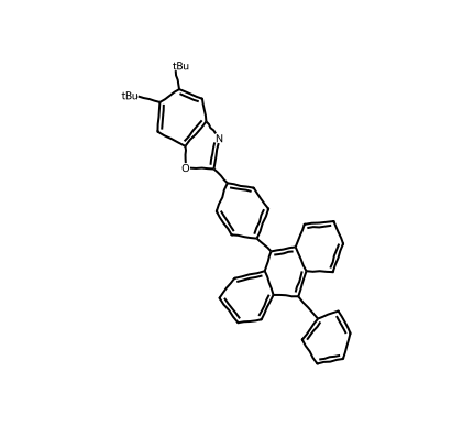 CC(C)(C)c1cc2nc(-c3ccc(-c4c5ccccc5c(-c5ccccc5)c5ccccc45)cc3)oc2cc1C(C)(C)C